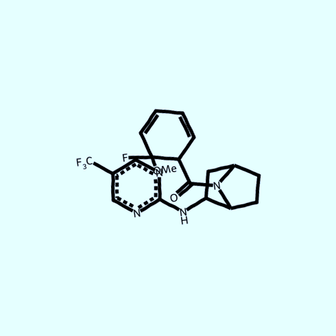 COC1(F)C=CC=CC1C(=O)N1C2CCC1C(Nc1ncc(C(F)(F)F)cn1)C2